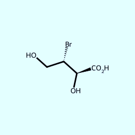 O=C(O)[C@@H](O)[C@@H](Br)CO